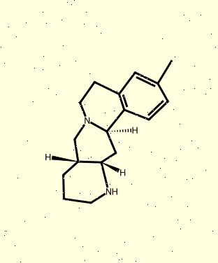 Cc1ccc2c(c1)CCN1C[C@H]3CCCN[C@H]3C[C@H]21